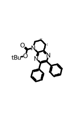 CC(C)(C)OC(=O)N1C[C][C]c2nc(-c3ccccc3)c(-c3ccccc3)nc21